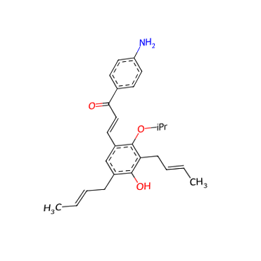 CC=CCc1cc(C=CC(=O)c2ccc(N)cc2)c(OC(C)C)c(CC=CC)c1O